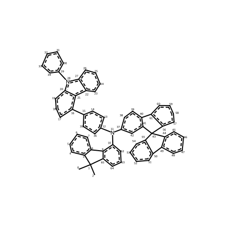 CC1(C)c2ccccc2-c2c(N(c3ccc(-c4cccc5c4c4ccccc4n5-c4ccccc4)cc3)c3ccc4c(c3)C3(c5ccccc5-c5ccccc53)c3ccccc3-4)cccc21